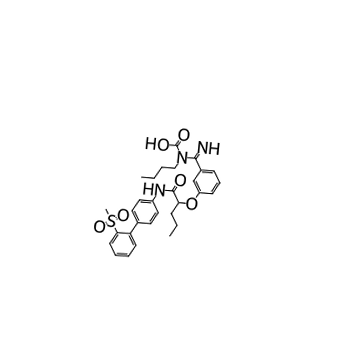 CCCCN(C(=N)c1cccc(OC(CCC)C(=O)Nc2ccc(-c3ccccc3S(C)(=O)=O)cc2)c1)C(=O)O